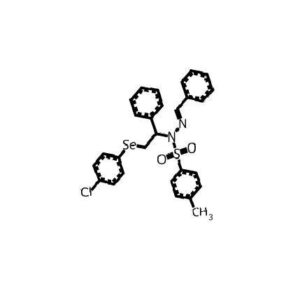 Cc1ccc(S(=O)(=O)N(N=Cc2ccccc2)C(C[Se]c2ccc(Cl)cc2)c2ccccc2)cc1